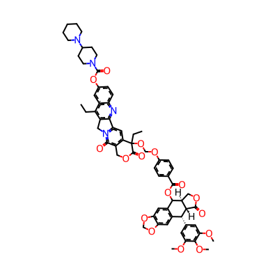 CCc1c2c(nc3ccc(OC(=O)N4CCC(N5CCCCC5)CC4)cc13)-c1cc3c(c(=O)n1C2)COC(=O)C3(CC)OCOc1ccc(C(=O)OC2c3cc4c(cc3[C@@H](c3cc(OC)c(OC)c(OC)c3)[C@H]3C(=O)OC[C@H]23)OCO4)cc1